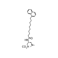 CN(C)C[C@@H](CC(=O)O)NC(=O)CCCCCCCCCc1cccc2ccccc12